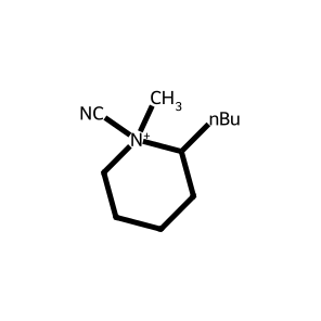 CCCCC1CCCC[N+]1(C)C#N